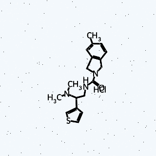 Cc1ccc2c(c1)CN(C(=O)NCC(c1ccsc1)N(C)C)C2.Cl